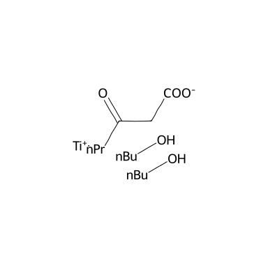 CCCC(=O)CC(=O)[O-].CCCCO.CCCCO.[Ti+]